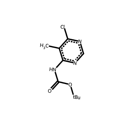 Cc1c(Cl)ncnc1NC(=O)OC(C)(C)C